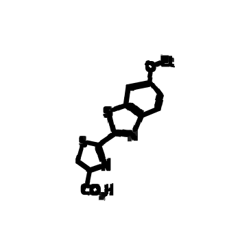 CCOc1ccc2nc(C3=NC(C(=O)O)CS3)sc2c1